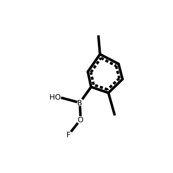 Cc1ccc(C)c(B(O)OF)c1